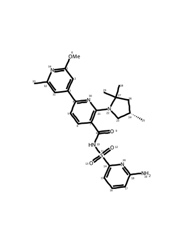 COc1cc(-c2ccc(C(=O)NS(=O)(=O)c3cccc(N)n3)c(N3C[C@@H](C)CC3(C)C)n2)cc(C)n1